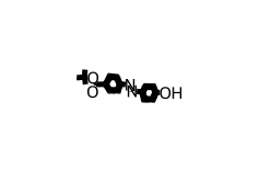 CC(C)(C)OC(=O)c1ccc(/N=N/c2ccc(O)cc2)cc1